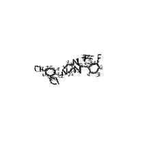 Fc1cccc(-c2nc3ccn(Cc4ccc(Cl)cc4Cl)cc-3n2)c1F